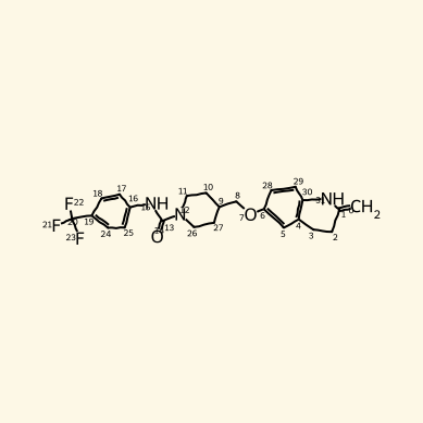 C=C1CCc2cc(OCC3CCN(C(=O)Nc4ccc(C(F)(F)F)cc4)CC3)ccc2N1